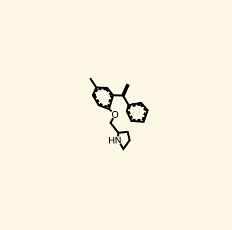 C=C(c1ccccc1)c1cc(C)ccc1OCC1CCCN1